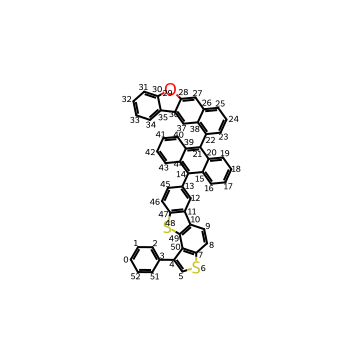 c1ccc(-c2csc3ccc4c5cc(-c6c7ccccc7c(-c7cccc8cc9oc%10ccccc%10c9cc78)c7ccccc67)ccc5sc4c23)cc1